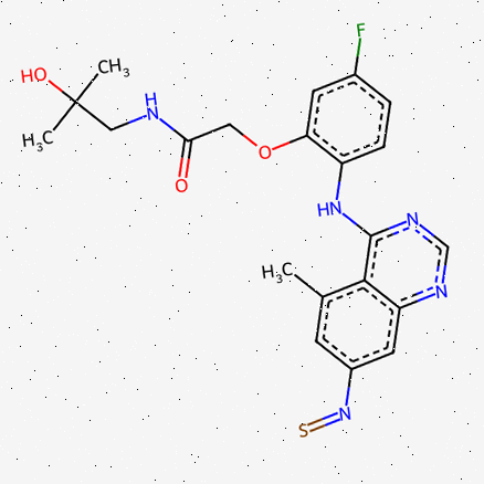 Cc1cc(N=S)cc2ncnc(Nc3ccc(F)cc3OCC(=O)NCC(C)(C)O)c12